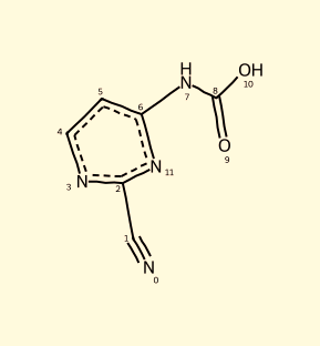 N#Cc1nccc(NC(=O)O)n1